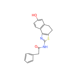 O=C(Cc1ccccc1)Nc1nc2c(s1)CCc1cc(O)ccc1-2